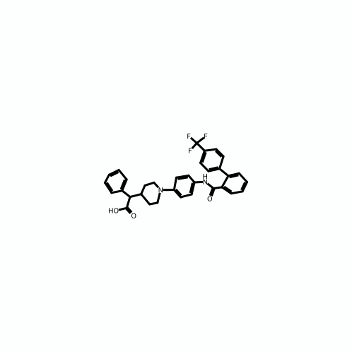 O=C(Nc1ccc(N2CCC(C(C(=O)O)c3ccccc3)CC2)cc1)c1ccccc1-c1ccc(C(F)(F)F)cc1